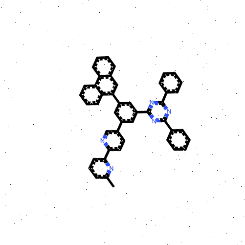 Cc1cccc(-c2ccc(-c3cc(-c4nc(-c5ccccc5)nc(-c5ccccc5)n4)cc(-c4cc5ccccc5c5ccccc45)c3)cn2)n1